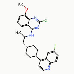 CC(C[C@H]1CC[C@H](c2ccnc3ccc(F)cc32)CC1)Nc1nc(Cl)nc2c(OC(F)(F)F)cccc12